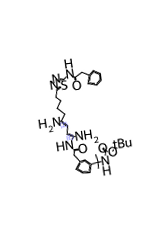 CC(C)(C)OC(=O)NC(C)(C)c1cccc(CC(=O)N/C(N)=C/C=C(\N)CCCCc2nnc(NC(=O)Cc3ccccc3)s2)c1